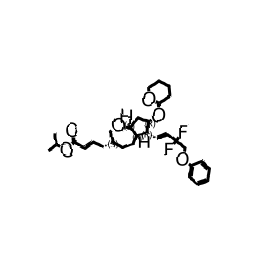 CC(C)OC(=O)CCC[C@H]1CC[C@@H]2[C@@H](C=CC(F)(F)COc3ccccc3)[C@H](OC3CCCCO3)C[C@@H]2OC1